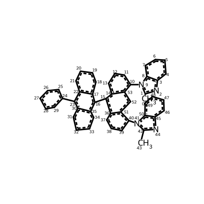 Cc1nc2ccccc2n1-c1cccc2c(-c3c4ccccc4c(-c4ccccc4)c4ccccc34)c3cccc(-n4c(C)nc5ccccc54)c3cc12